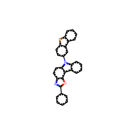 c1ccc(-c2nc3ccc4c(c5ccccc5n4-c4ccc5sc6ccccc6c5c4)c3o2)cc1